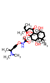 C=C[C@@]1(C)CC(=O)[C@]2(O)[C@@]3(C)[C@@H](O)CCC(C)(C)[C@@H]3[C@H](O)[C@H](OC(=O)NOC#CC(C)N(C)C)[C@@]2(C)O1